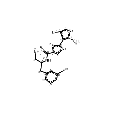 Cn1ncc(Cl)c1-c1ncc(C(=O)NC(CN)Cc2cccc(F)c2)s1